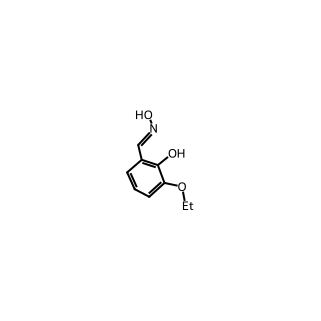 CCOc1cccc(C=NO)c1O